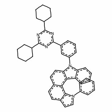 c1ccc(-n2ccc3ccc4ccc5c(c6ccccc6n5-c5cccc(-c6nc(C7CCCCC7)nc(C7CCCCC7)n6)c5)c4c32)cc1